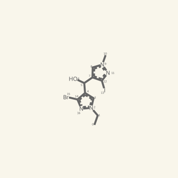 CCn1cc(C(O)c2cn(C)nc2I)c(Br)n1